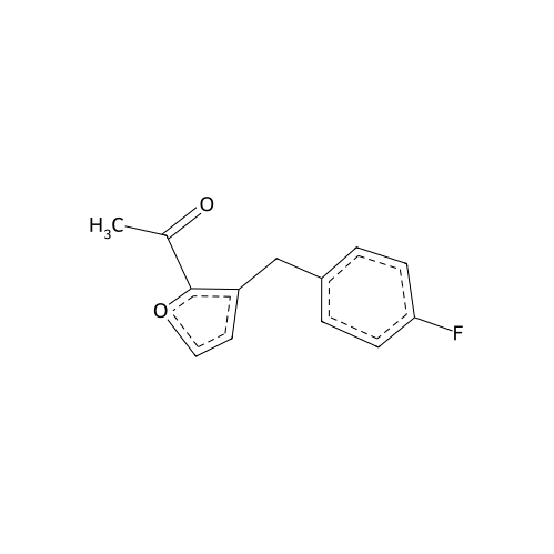 CC(=O)c1occc1Cc1ccc(F)cc1